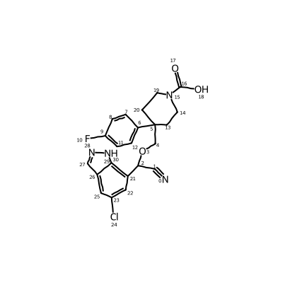 N#CC(OCC1(c2ccc(F)cc2)CCN(C(=O)O)CC1)c1cc(Cl)cc2cn[nH]c12